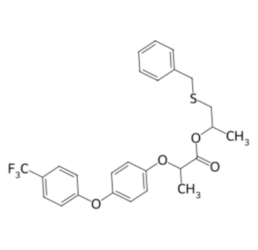 CC(CSCc1ccccc1)OC(=O)C(C)Oc1ccc(Oc2ccc(C(F)(F)F)cc2)cc1